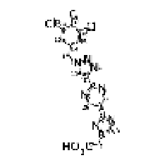 O=C(O)Cn1nnc(-c2cnc(-c3cn(Cc4cc(Cl)c(Cl)c(Cl)c4)nn3)nc2)n1